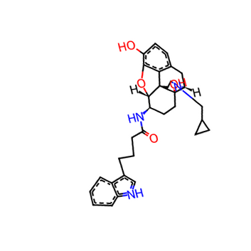 O=C(CCCc1c[nH]c2ccccc12)N[C@@H]1CC[C@@]2(O)[C@H]3Cc4ccc(O)c5c4[C@@]2(CCN3CC2CC2)[C@H]1O5